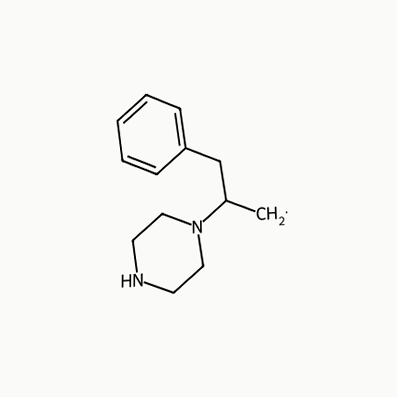 [CH2]C(Cc1ccccc1)N1CCNCC1